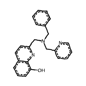 Oc1cccc2ccc(CN(Cc3ccccc3)Cc3ccccn3)nc12